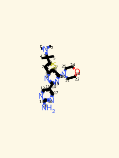 CN(C)C(C)(C)c1cc2nc(-c3cnc(N)nc3)nc(N3CCOCC3)c2s1